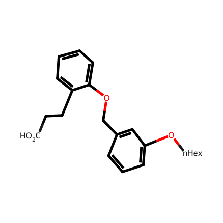 CCCCCCOc1cccc(COc2ccccc2CCC(=O)O)c1